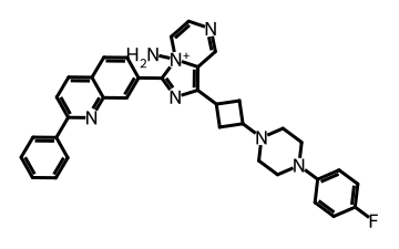 N[N+]12C=CN=CC1=C(C1CC(N3CCN(c4ccc(F)cc4)CC3)C1)N=C2c1ccc2ccc(-c3ccccc3)nc2c1